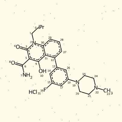 CC(C)Cn1c(=O)c(C(N)=O)c(O)c2c(-c3cc(F)cc(N4CCN(C)CC4)c3)cccc21.Cl